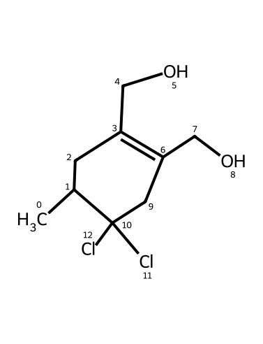 CC1CC(CO)=C(CO)CC1(Cl)Cl